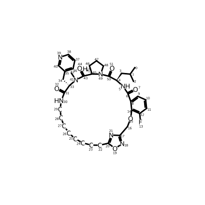 CC(C)C[C@H]1NC(=O)c2cccc(F)c2OCc2noc(n2)CCCCCCCCNC(=O)[C@H](Cc2cccnc2)N(C)C(=O)[C@H]2CCCN2C1=O